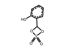 O=S1(=O)OC(c2ccccc2O)O1